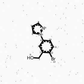 OCc1cc(-n2cccn2)ccc1Br